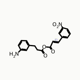 Nc1cccc(CCC(=O)OC(=O)/C=C/c2cccc([N+](=O)[O-])c2)c1